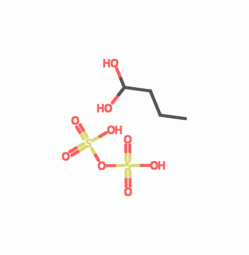 CCCC(O)O.O=S(=O)(O)OS(=O)(=O)O